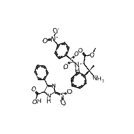 COC(=O)[C@@H](NS(=O)(=O)c1ccc([N+](=O)[O-])cc1)[C@](C)(N)c1ccccc1.O=C(O)C1NC(=S(=O)=O)N=C1c1ccccc1